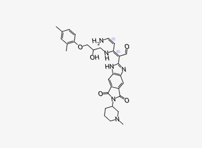 Cc1ccc(OCC(O)CNC(/C=C\N)=C(/C=O)c2nc3cc4c(cc3[nH]2)C(=O)N(C2CCCN(C)C2)C4=O)c(C)c1